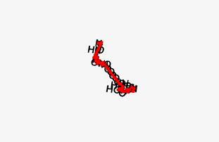 Cc1ncsc1-c1ccc(CNC(=O)[C@@H]2C[C@@H](O)CN2C(=O)[C@@H](NC(=O)CCOCCOCCOCCOCCOCCC(=O)N2CCN(c3ccc(C(=O)N4CCC(CCCCNC(=O)/C=C/c5cccnc5)CC4)cc3)CC2)C(C)(C)C)cc1